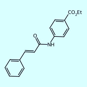 CCOC(=O)c1ccc(NC(=O)C=Cc2ccccc2)cc1